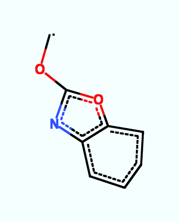 [CH2]Oc1nc2ccccc2o1